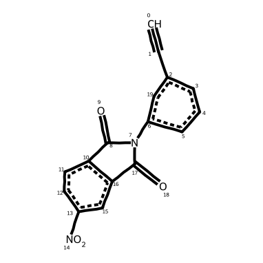 C#Cc1cccc(N2C(=O)c3ccc([N+](=O)[O-])cc3C2=O)c1